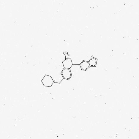 CN1Cc2cc(CN3CCCCC3)ccc2C(c2ccc3ccsc3c2)C1